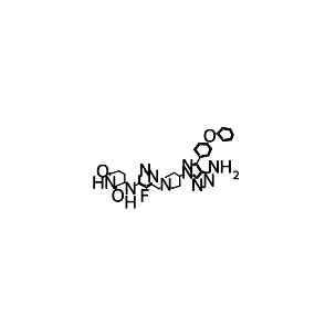 Nc1ncnc2c1c(-c1ccc(Oc3ccccc3)cc1)nn2C1CCN(Cc2nncc(NC3CCC(=O)NC3=O)c2F)CC1